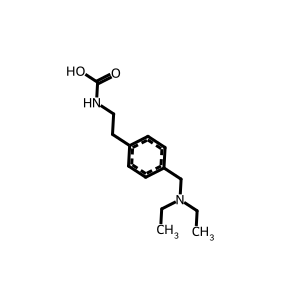 CCN(CC)Cc1ccc(CCNC(=O)O)cc1